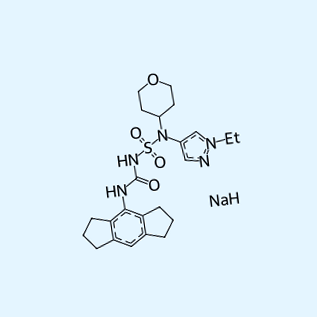 CCn1cc(N(C2CCOCC2)S(=O)(=O)NC(=O)Nc2c3c(cc4c2CCC4)CCC3)cn1.[NaH]